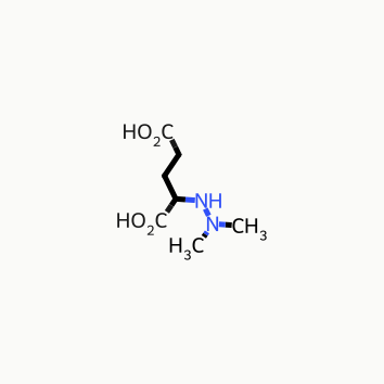 CN(C)NC(CCC(=O)O)C(=O)O